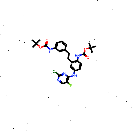 CC(C)(C)OC(=O)Nc1cccc(CCc2cc(Nc3nc(Cl)ncc3F)ccc2NC(=O)OC(C)(C)C)c1